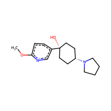 COc1ccc([C@]2(O)CC[C@@H](N3CCCC3)CC2)cn1